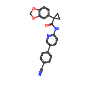 N#Cc1ccc(-c2ccc(NC(=O)C3(c4ccc5c(c4)OCO5)CC3)nc2)cc1